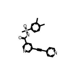 Cc1ccc(S(C)(=O)=NC(=O)c2cncc(C#Cc3ccncc3)c2)cc1C